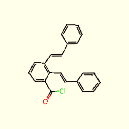 O=C(Cl)c1cccc(C=Cc2ccccc2)c1C=Cc1ccccc1